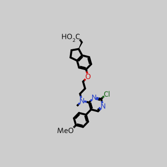 COc1ccc(-c2cnc(Cl)nc2N(C)CCCOc2ccc3c(c2)CC[C@H]3CC(=O)O)cc1